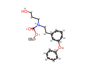 CC(C)(C)OC(=O)N(CCCO)CCc1cccc(Oc2ccccc2)c1